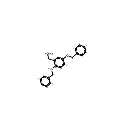 O=CCc1cc(OCc2ccccc2)ccc1OCc1ccccc1